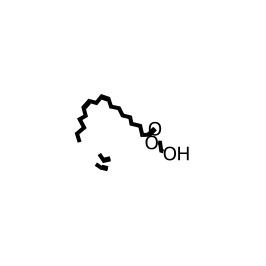 C=CC.C=CC.CCCCC/C=C\C/C=C\CCCCCCCC(=O)OCCO